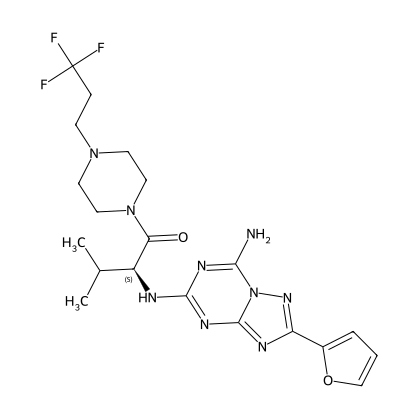 CC(C)[C@H](Nc1nc(N)n2nc(-c3ccco3)nc2n1)C(=O)N1CCN(CCC(F)(F)F)CC1